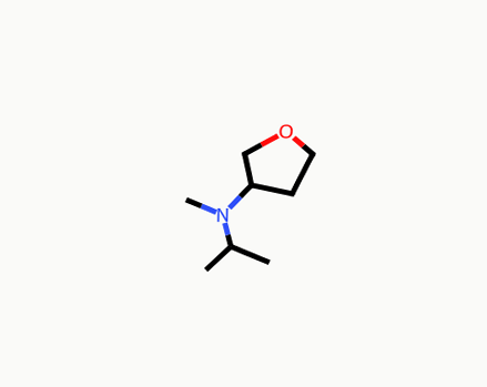 CC(C)N(C)C1CCOC1